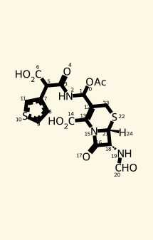 CC(=O)OC(NC(=O)C(C(=O)O)c1ccsc1)C1=C(C(=O)O)N2C(=O)[C@@H](NC=O)[C@H]2SC1